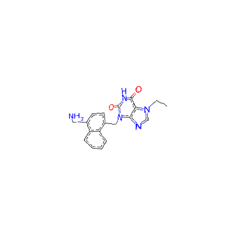 CCn1cnc2c1c(=O)[nH]c(=O)n2Cc1ccc(CN)c2ccccc12